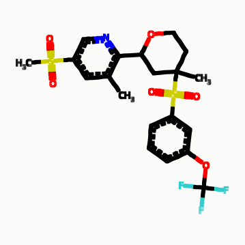 Cc1cc(S(C)(=O)=O)cnc1C1CC(C)(S(=O)(=O)c2cccc(OC(F)(F)F)c2)CCO1